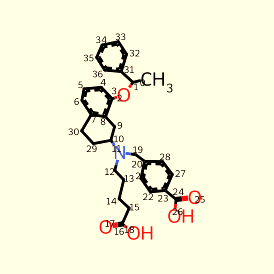 CC(Oc1cccc2c1CC(N(CCCCC(=O)O)Cc1ccc(C(=O)O)cc1)CC2)c1ccccc1